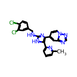 Cc1cccc(-c2[nH]c(NCc3ccc(Cl)c(Cl)c3)nc2-c2ccn3ncnc3c2)n1